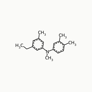 CCc1cc(C)cc(N(C)c2ccc(C)c(C)c2)c1